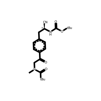 CN(CC(=O)c1ccc(C[C@@H](C#N)NC(=O)OC(C)(C)C)cc1)C(=O)C(C)(C)C